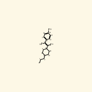 CCCC1CCC(/C(F)=C(\F)c2ccc(F)cc2)CC1